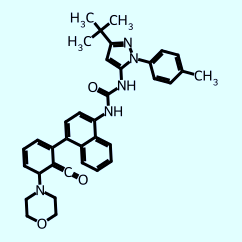 Cc1ccc(-n2nc(C(C)(C)C)cc2NC(=O)Nc2ccc(C3=CC=CC(N4CCOCC4)C3=C=O)c3ccccc23)cc1